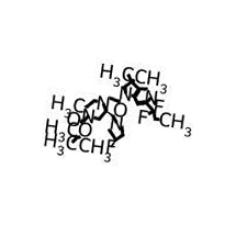 CCC(F)(F)c1cc2c(cn1)C(C)(C)CN2C(=O)CN1C[C@@H](C)N(C(=O)OC(C)(C)C)C[C@@H]1CN1CC[C@@H](F)C1